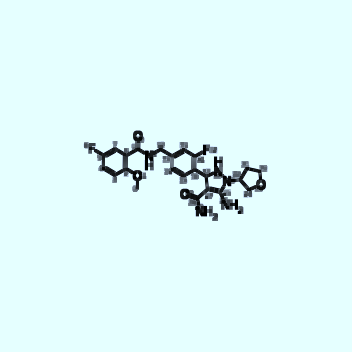 COc1ccc(F)cc1C(=O)NCc1ccc(C2NN(C3CCOC3)C(N)=C2C(N)=O)c(F)c1